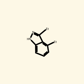 CCc1cccc2[nH]nc(CC)c12